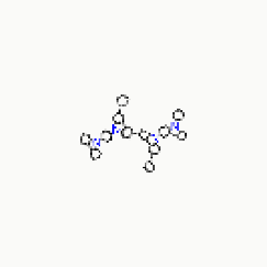 c1ccc(-c2ccc3c(c2)c2cc(-c4ccc5c(c4)c4cc(-c6ccccc6)ccc4n5-c4ccc5c(c4)c4ccccc4n5-c4ccccc4)ccc2n3-c2ccc(-n3c4ccccc4c4ccccc43)cc2)cc1